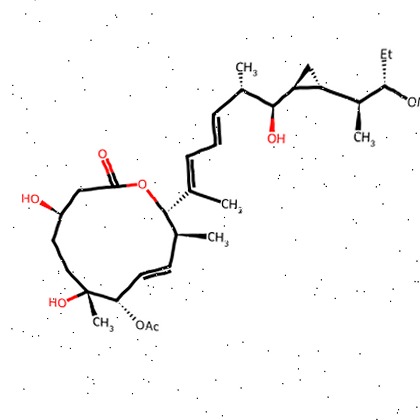 CC[C@H](OC)[C@@H](C)[C@H]1C[C@@H]1[C@@H](O)[C@@H](C)/C=C/C=C(\C)[C@H]1OC(=O)C[C@H](O)CC[C@@](C)(O)[C@@H](OC(C)=O)/C=C/[C@@H]1C